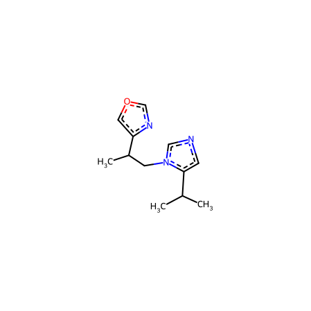 CC(C)c1cncn1CC(C)c1cocn1